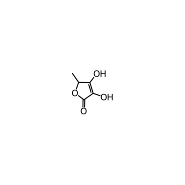 CC1OC(=O)C(O)=C1O